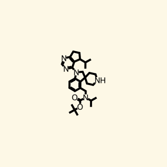 CC(C)C1CCc2ncnc(N3CC4(CCNCC4)c4c(CN(C(=O)OC(C)(C)C)C(C)C)cccc43)c21